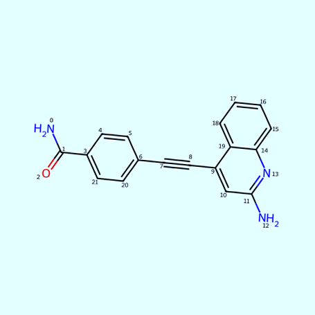 NC(=O)c1ccc(C#Cc2cc(N)nc3ccccc23)cc1